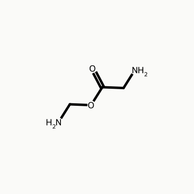 NCOC(=O)CN